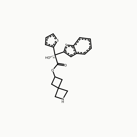 O=C(OC1CC2(CNC2)C1)[C@@](O)(c1cccs1)c1cc2ccccc2s1